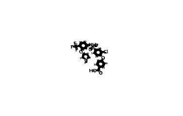 CN1CC[C@@H](Oc2cc(NS(=O)(=O)c3ccc(Oc4ccc(C(=O)O)cc4)c(Cl)c3)ccc2C(F)(F)F)C1